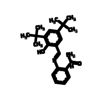 CC(C)(C)c1cc(/C=N/c2ccccc2[PH](=O)P)c(O)c(C(C)(C)C)c1